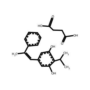 CC(=Cc1cc(O)c(C(C)C)c(O)c1)c1ccccc1.O=C(O)CCC(=O)O